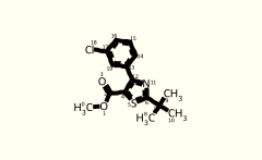 COC(=O)c1sc(C(C)(C)C)nc1-c1cccc(Cl)c1